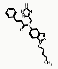 CCCCOn1ncc2cc(N(Cc3nn[nH]n3)C(=O)CCc3ccccc3)ccc21